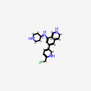 FCC1=CC=C(c2cc(NC3CCNCC3)c3c(c2)=CCNC=3)CN1